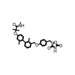 CNC(=O)C(C)(C)Oc1ccc(-c2cccc(COc3ccc(Cn4oc(=O)[nH]c4=O)cc3)c2C)c(C)c1